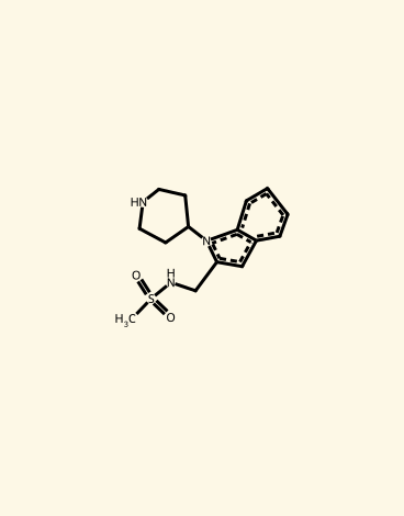 CS(=O)(=O)NCc1cc2ccccc2n1C1CCNCC1